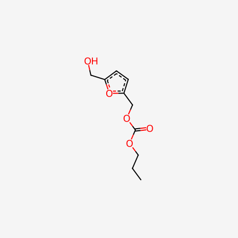 CCCOC(=O)OCc1ccc(CO)o1